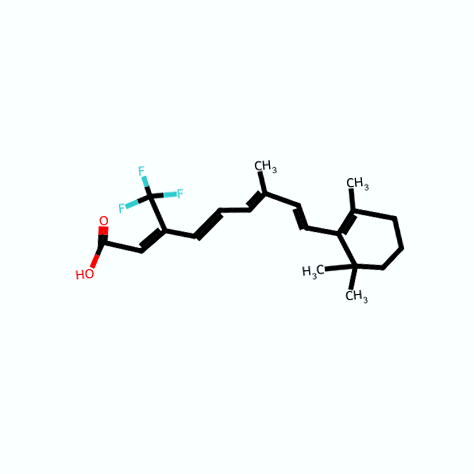 CC(C=CC1=C(C)CCCC1(C)C)=CC=CC(=CC(=O)O)C(F)(F)F